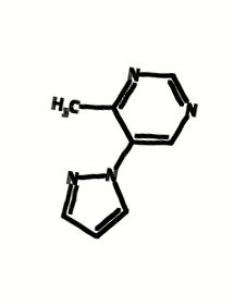 Cc1ncncc1-n1cccn1